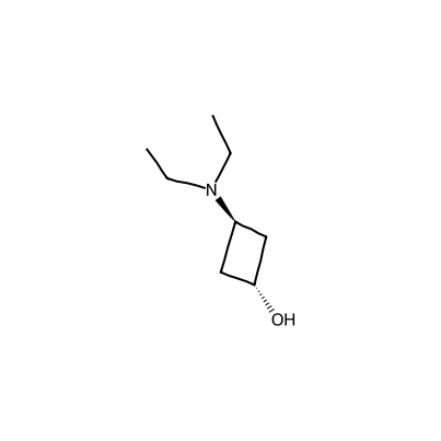 CCN(CC)[C@H]1C[C@H](O)C1